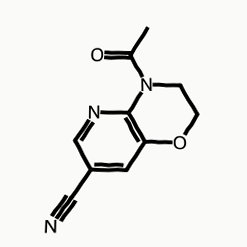 CC(=O)N1CCOc2cc(C#N)cnc21